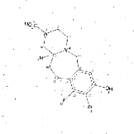 O=C(O)N1CCN2Cc3cc(O)c(Br)c(F)c3OC[C@H]2C1